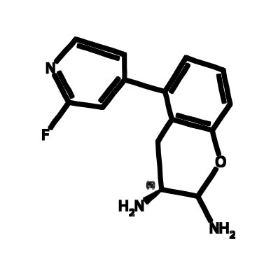 NC1Oc2cccc(-c3ccnc(F)c3)c2C[C@@H]1N